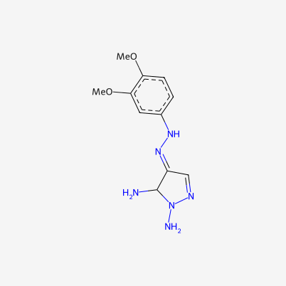 COc1ccc(NN=C2C=NN(N)C2N)cc1OC